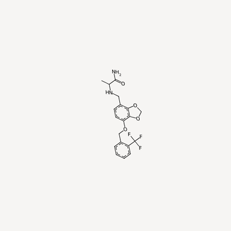 CC(NCc1ccc(OCc2ccccc2C(F)(F)F)c2c1OCO2)C(N)=O